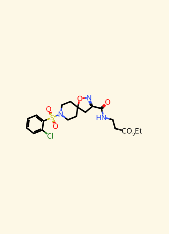 CCOC(=O)CCNC(=O)C1=NOC2(CCN(S(=O)(=O)c3ccccc3Cl)CC2)C1